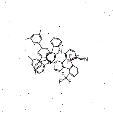 Cc1cc(C)cc(-c2ccc3c(c2)c2ccccc2n3-c2ccc(-c3c(C(F)(F)F)cccc3C(F)(F)F)c(-c3cc(C#N)ccc3-n3c4ccccc4c4cc(-c5cc(C)cc(C)c5)ccc43)c2)c1